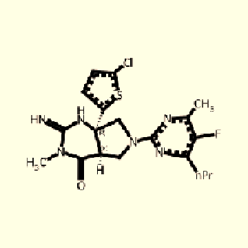 CCCc1nc(N2C[C@H]3C(=O)N(C)C(=N)N[C@@]3(c3ccc(Cl)s3)C2)nc(C)c1F